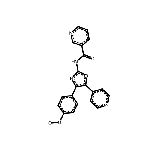 COc1ccc(-c2nc(NC(=O)c3cccnc3)sc2-c2ccncc2)cc1